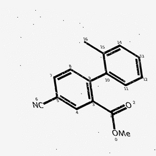 COC(=O)c1cc(C#N)ccc1-c1ccccc1C